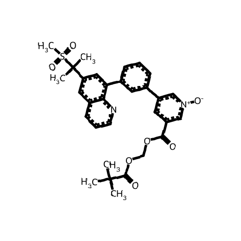 CC(C)(C)C(=O)OCOC(=O)c1cc(-c2cccc(-c3cc(C(C)(C)S(C)(=O)=O)cc4cccnc34)c2)c[n+]([O-])c1